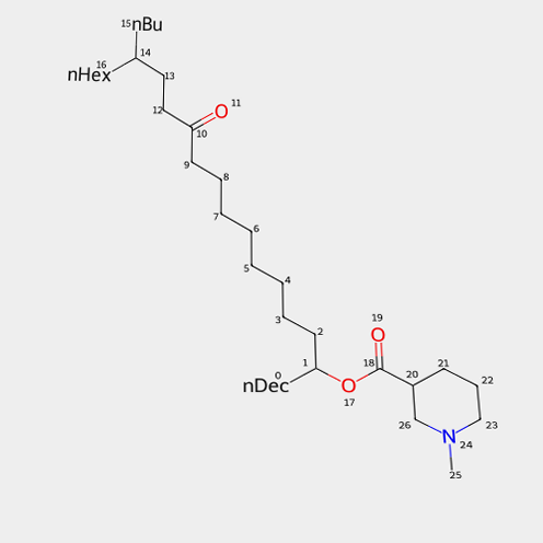 CCCCCCCCCCC(CCCCCCCCC(=O)CCC(CCCC)CCCCCC)OC(=O)C1CCCN(C)C1